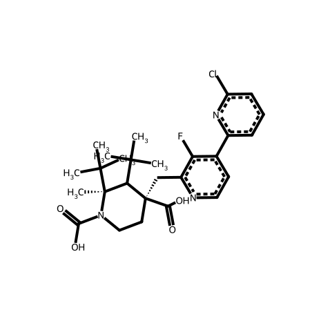 CC(C)(C)C1[C@@](Cc2nccc(-c3cccc(Cl)n3)c2F)(C(=O)O)CCN(C(=O)O)[C@@]1(C)C(C)(C)C